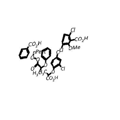 CC(Oc1ccc(Cl)cc1Cl)C(=O)O.CCCCCOOC(=O)C(C)Oc1ccccc1.COc1c(Cl)ccc(Cl)c1C(=O)O.O=C(O)c1ccccc1